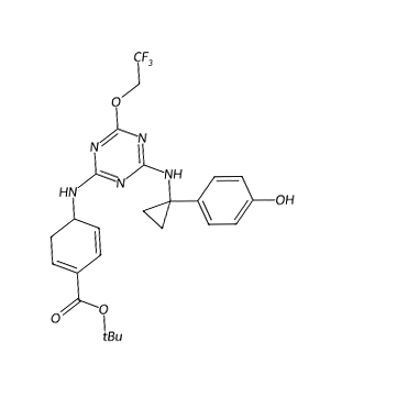 CC(C)(C)OC(=O)C1=CCC(Nc2nc(NC3(c4ccc(O)cc4)CC3)nc(OCC(F)(F)F)n2)C=C1